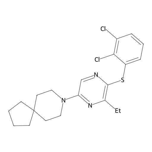 CCc1nc(N2CCC3(CCCC3)CC2)cnc1Sc1cccc(Cl)c1Cl